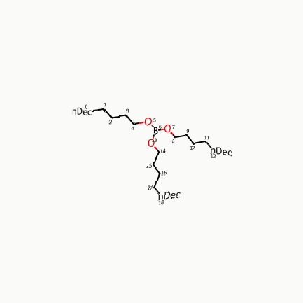 CCCCCCCCCCCCCCOB(OCCCCCCCCCCCCCC)OCCCCCCCCCCCCCC